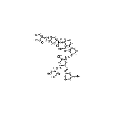 N#Cc1cncc(COc2cc(OCc3cccc(-c4cccc(NCc5ccc(CNC(CO)C(=O)O)cc5Cl)c4C=N)c3Br)c(Cl)cc2CNC(CO)C(=O)O)c1